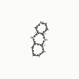 c1ccc2nc3cnccc3nc2c1